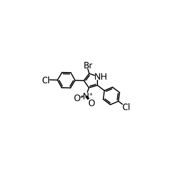 O=[N+]([O-])c1c(-c2ccc(Cl)cc2)[nH]c(Br)c1-c1ccc(Cl)cc1